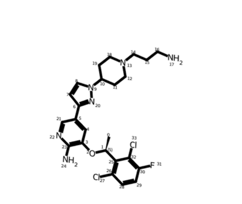 C[C@H](Oc1cc(-c2ccn(C3CCN(CCCN)CC3)n2)cnc1N)c1c(Cl)ccc(F)c1Cl